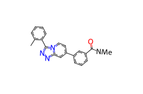 CNC(=O)c1cccc(-c2ccn3c(-c4ccccc4C)nnc3c2)c1